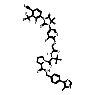 Cc1ncsc1-c1ccc(CNC(=O)C2CCCN2C(=O)[C@@H](NC(=O)COc2ncc(N3C(=S)N(c4ccc(C#N)c(C(F)(F)F)c4F)C(=O)C3(C)C)cc2F)C(C)(C)C)cc1